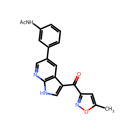 CC(=O)Nc1cccc(-c2cnc3[nH]cc(C(=O)c4cc(C)on4)c3c2)c1